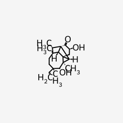 C=C[C@]1(C)CC[C@@]2(C)[C@@H]3[C@@]4(C(=O)[C@@H](O)C[C@]35[C@H]4[C@@]5(C)[C@@H]1O)[C@H]2C